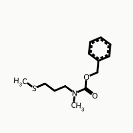 CSCCCN(C)C(=O)OCc1ccccc1